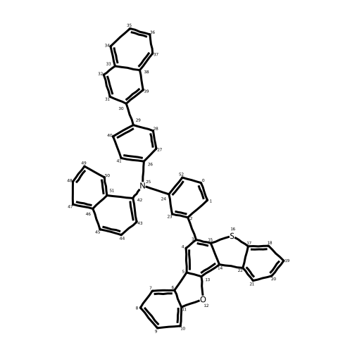 c1cc(-c2cc3c4ccccc4oc3c3c2sc2ccccc23)cc(N(c2ccc(-c3ccc4ccccc4c3)cc2)c2cccc3ccccc23)c1